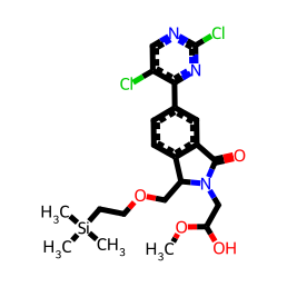 COC(O)CN1C(=O)c2cc(-c3nc(Cl)ncc3Cl)ccc2C1COCC[Si](C)(C)C